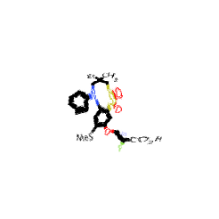 CCC1(C)CN(c2ccccc2)c2cc(SC)c(O/C=C(\F)C(=O)O)cc2S(=O)(=O)C1